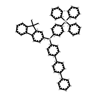 CC1(C)c2ccccc2-c2ccc(N(c3ccc(-c4ccc(-c5ccccc5)cc4)cc3)c3ccc([Si](c4ccccc4)(c4ccccc4)c4ccccc4)cc3)cc21